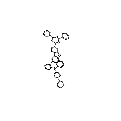 c1ccc(-c2ccc(N(c3ccccc3)c3ccccc3-c3ccc4oc5cc(-c6nc(-c7ccccc7)nc(-c7ccccc7)n6)ccc5c4c3)cc2)cc1